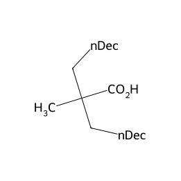 CCCCCCCCCCCC(C)(CCCCCCCCCCC)C(=O)O